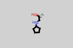 C[C@@H](O)CNC1CCCC1